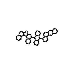 c1ccc2cc3c(ccc4c(-c5c6ccccc6c(-c6cc7oc8ccc9ccccc9c8c7c7ccccc67)c6ccccc56)cccc43)cc2c1